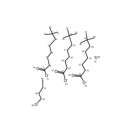 CC(C)(C)CCCCCC(=O)[O-].CC(C)(C)CCCCCC(=O)[O-].CC(C)(C)CCCCCC(=O)[O-].CCCC[O-].[Ti+4]